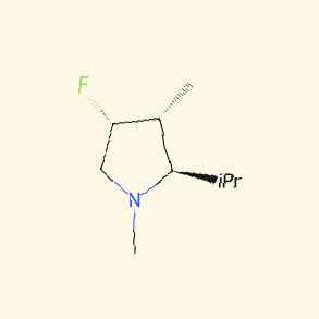 CC(C)[C@@H]1[C@@H](C)[C@@H](F)CN1C